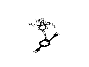 CC1(C)OB(c2cc(C#N)ccc2C#N)OC1(C)C